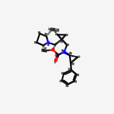 CC(C)(C)OC(=O)N(CC1(CN2CCC[C@@H]2C(=O)O)CC1)[C@H]1CC1c1ccccc1